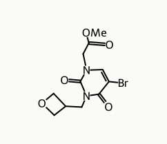 COC(=O)Cn1cc(Br)c(=O)n(CC2COC2)c1=O